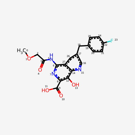 COCC(=O)Nc1nc(C(=O)O)c(O)c2ncc(Cc3ccc(F)cc3)cc12